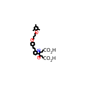 Cc1cc(C)c(OCCCCOc2ccc(C=Cc3cccc4c(C(=O)CCC(=O)O)c(CCC(=O)O)n(C)c34)cc2)c(C)c1